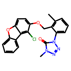 Cc1cccc(-n2nnn(C)c2=O)c1COc1ccc2oc3ccccc3c2c1Cl